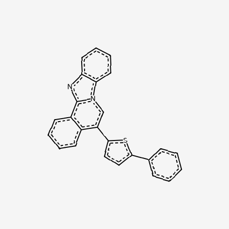 c1ccc(-c2ccc(-c3cn4c5ccccc5nc4c4ccccc34)s2)cc1